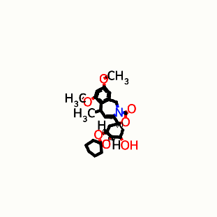 COc1cc2c(c(OC)c1)C(C)C=C1N(C2)C(=O)O[C@@]12CC(O)[C@@H]1OC3(CCCCC3)O[C@@H]1C2